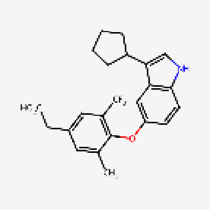 Cc1cc(CC(=O)O)cc(C(F)(F)F)c1Oc1ccc2[nH]cc(C3CCCC3)c2c1